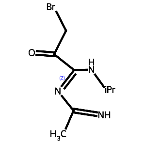 CC(=N)/N=C(\NC(C)C)C(=O)CBr